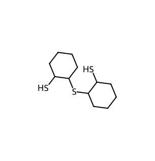 SC1CCCCC1SC1CCCCC1S